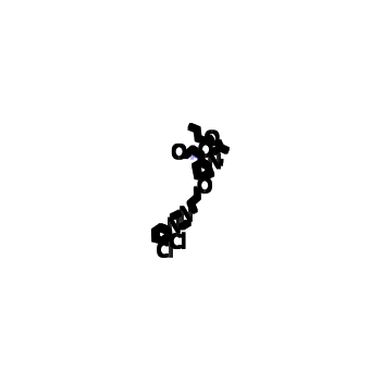 CCCC(=O)OC(C(C)C)N(C)c1cc(OCCCCN2CCN(c3cccc(Cl)c3Cl)CC2)ccc1/C=C\C=O